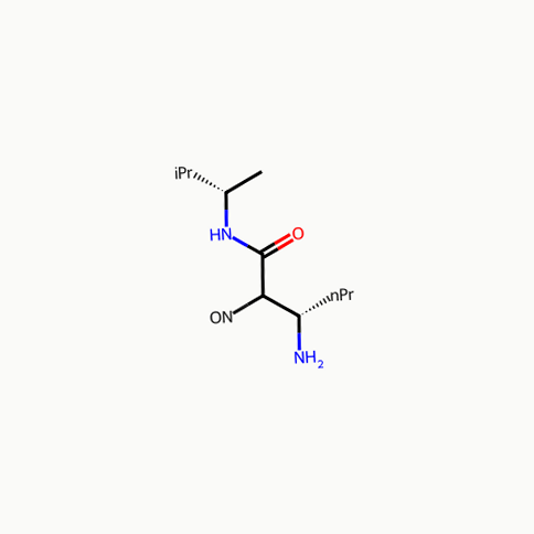 CCC[C@H](N)C(N=O)C(=O)N[C@@H](C)C(C)C